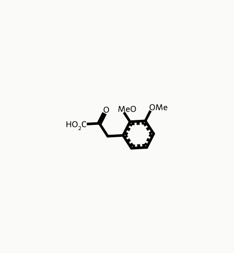 COc1cccc(CC(=O)C(=O)O)c1OC